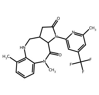 Cc1cc(C(F)(F)F)cc(N2C(=O)CC3CNc4c(C)cccc4N(C)C(=O)C32)n1